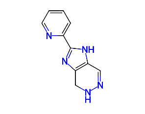 C1=NNCc2nc(-c3ccccn3)[nH]c21